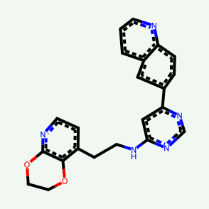 c1cnc2ccc(-c3cc(NCCc4ccnc5c4OCCO5)ncn3)cc2c1